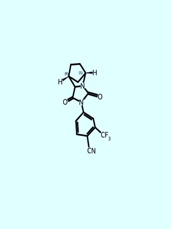 N#Cc1ccc(N2C(=O)C3[C@@H]4CC[C@@H](C4)N3C2=O)cc1C(F)(F)F